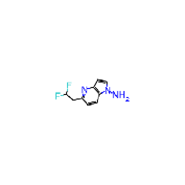 Nn1ccc2nc(CC(F)F)ccc21